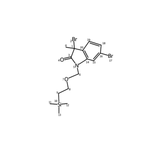 CC1(Br)C(=O)N(COCC[Si](C)(C)C)c2cc(Br)ccc21